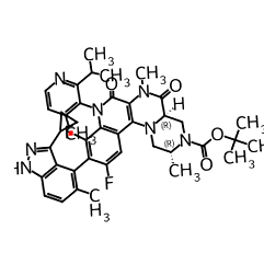 Cc1ccnc(C(C)C)c1-n1c(=O)c2c(c3cc(F)c(-c4c(C)ccc5[nH]nc(C6CC6)c45)c(F)c31)N1C[C@@H](C)N(C(=O)OC(C)(C)C)C[C@@H]1C(=O)N2C